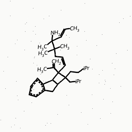 C=C(C)C1(/C=C\CC(C)(C)C(C)(N)C=CC)C2c3ccccc3CC2C1(CCC(C)C)CC(C)C